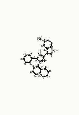 Brc1ccc2[nH]cc(-c3nc(-c4cccc5ccccc45)c(-c4ccccc4)[nH]3)c2c1